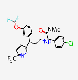 CNC(=O)[C@H](NCC[C@@H](c1ccc(C(F)(F)F)nc1)c1cccc(OC(F)F)c1)c1ccc(Cl)cc1